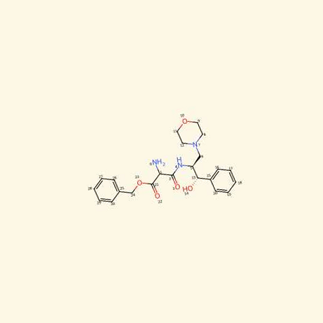 NC(C(=O)N[C@@H](CN1CCOCC1)[C@@H](O)c1ccccc1)C(=O)OCc1ccccc1